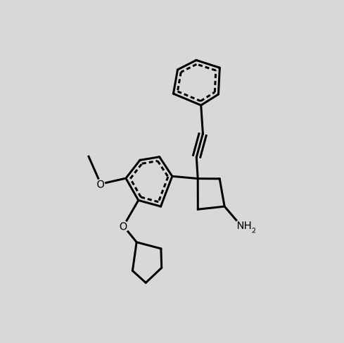 COc1ccc(C2(C#Cc3ccccc3)CC(N)C2)cc1OC1CCCC1